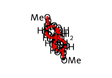 COCCOCCOCCN1CCNC(=O)Cn2c(C)cc(c(O)c2=O)C(=O)NCCN(CCN2CCNC(=O)c3cc(C)n(c(=O)c3O)CC(=O)NCCN(CCOCCOCCOC)CCNC(=O)Cn3c(C)cc(c(O)c3=O)C(=O)NC(CCCCN)C2)CCNC(=O)c2cc(C)n(c(=O)c2O)CC(=O)NCC1